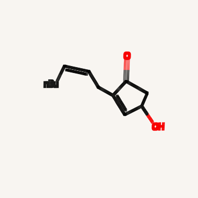 CCCC/C=C\CC1=CC(O)CC1=O